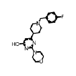 Oc1cc(C2CCN(Cc3ccc(F)cc3)CC2)nc(N2CCOCC2)n1